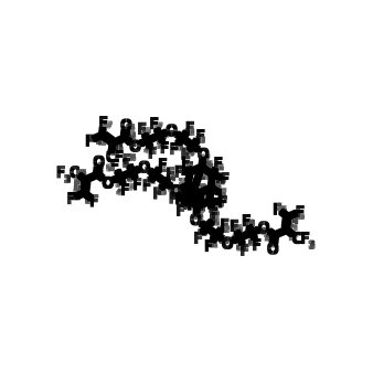 O=C(OC(F)(F)C(F)(F)OC(F)(F)C(F)(F)OC12C(F)(F)C3(F)C(F)(F)C(OC(F)(F)C(F)(F)OC(F)(F)C(F)(F)OC(=O)C(=C(F)F)C(F)(F)F)(C1(F)F)C(F)(F)C(OC(F)(F)C(F)(F)OC(F)(F)C(F)(F)OC(=O)C(=C(F)F)C(F)(F)F)(C3(F)F)C2(F)F)C(=C(F)F)C(F)(F)F